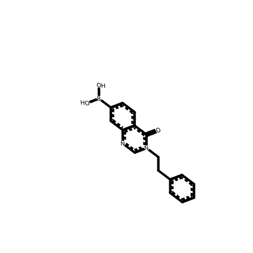 O=c1c2ccc(B(O)O)cc2ncn1CCc1ccccc1